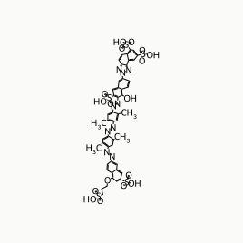 Cc1cc(N=Nc2cc(C)c(N=Nc3c(S(=O)(=O)O)cc4cc(-n5nc6ccc7c(S(=O)(=O)O)cc(S(=O)(=O)O)cc7c6n5)ccc4c3O)cc2C)c(C)cc1N=Nc1ccc2c(OCCCS(=O)(=O)O)cc(S(=O)(=O)O)cc2c1